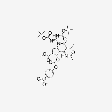 CCC(CC)[C@H](NC(C)=O)C1C(NC(=NC(=O)OC(C)(C)C)NC(=O)OC(C)(C)C)CC(C(=O)OC)C1OC(=O)Oc1ccc([N+](=O)[O-])cc1